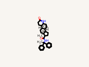 CC(NC(=O)C1CC[C@H]2[C@@H]3CCC4NC(=O)CC[C@]4(C)[C@@H]3CC[C@]12C)(c1ccccc1)c1ccccc1